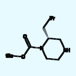 CC(C)C[C@@H]1CNCCN1C(=O)OC(C)(C)C